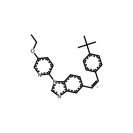 CCOc1ccc(-n2cnc3cc(/C=C\c4ccc(C(C)(C)C)cc4)ccc32)nc1